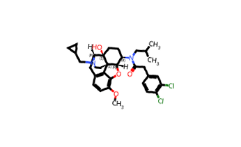 COc1ccc2c3c1O[C@H]1[C@H](N(CC(C)C)C(=O)Cc4ccc(Cl)c(Cl)c4)CC[C@@]4(O)[C@@H](C2)N(CC2CC2)CC[C@]314